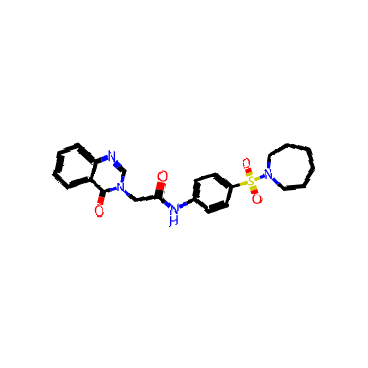 O=C(Cn1cnc2ccccc2c1=O)Nc1ccc(S(=O)(=O)N2CCCCCC2)cc1